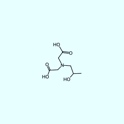 CC(O)CN(CC(=O)O)CC(=O)O